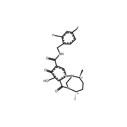 C[C@H]1CC[C@H](C)N2CN1C(=O)c1c(O)c(=O)c(C(=O)NCc3ccc(F)cc3F)cn12